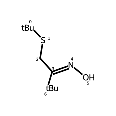 CC(C)(C)SCC(=NO)C(C)(C)C